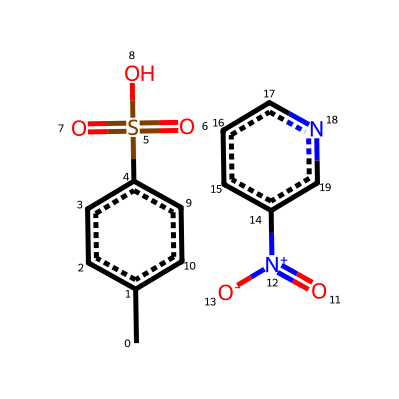 Cc1ccc(S(=O)(=O)O)cc1.O=[N+]([O-])c1cccnc1